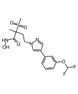 CC(CCn1cc(-c2cccc(OC(F)F)c2)cn1)(C(=O)NO)S(C)(=O)=O